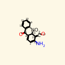 NC1=CC=C(C(=O)c2ccccc2)C([N+](=O)[O-])C1=C=O